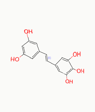 Oc1cc(O)cc(/C=C/c2cc(O)c(O)c(O)c2)c1